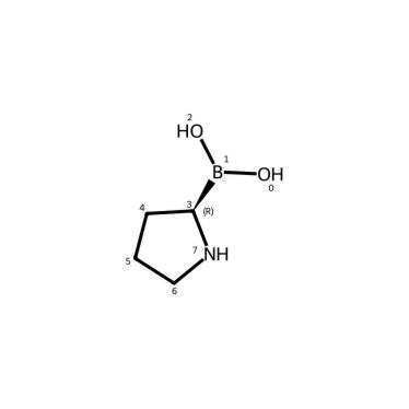 OB(O)[C@@H]1CCCN1